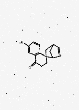 CCCc1ccc2c(c1)C(=O)CCC21CC2C=CC1C2